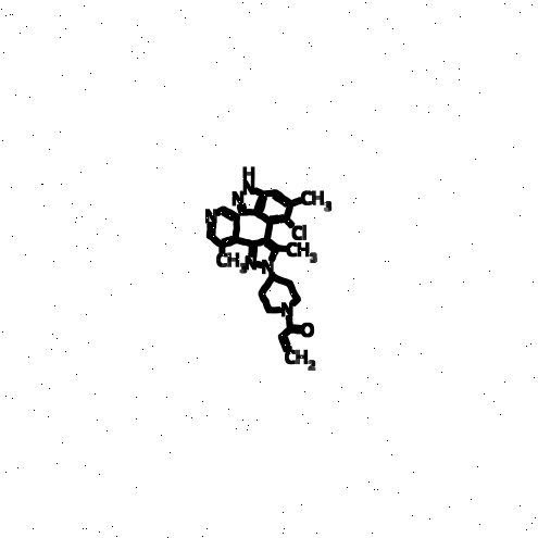 C=CC(=O)N1CCC(n2nc(-c3ccncc3C)c(-c3c(Cl)c(C)cc4[nH]ncc34)c2C)CC1